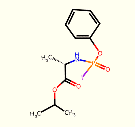 CC(C)OC(=O)[C@H](C)NP(=O)(I)Oc1ccccc1